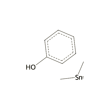 Oc1ccccc1.[CH3][Sn][CH3]